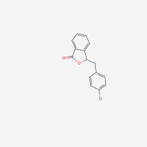 O=C1OC(Cc2ccc(Cl)cc2)c2ccccc21